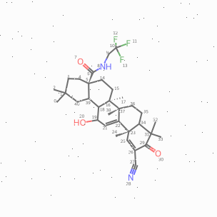 CC1(C)CC[C@]2(C(=O)NCC(F)(F)F)CC[C@]3(C)C(C(O)C=C4[C@@]5(C)C=C(C#N)C(=O)C(C)(C)C5CC[C@]43C)C2C1